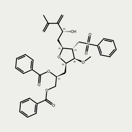 C=C(C)C(=C)[C@H](O)C[C@@H]1O[C@H](C[C@@H](COC(=O)c2ccccc2)OC(=O)c2ccccc2)[C@H](OC)[C@H]1CS(=O)(=O)c1ccccc1